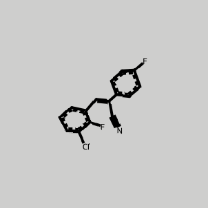 N#CC(=Cc1cccc(Cl)c1F)c1ccc(F)cc1